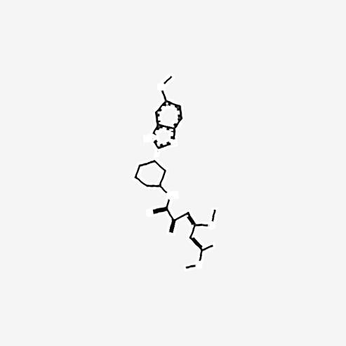 C=C(/C=C(\C=C(/C)OC)OC)C(=O)NC1CCC[C@H](c2nc3ccc(OC)cc3[nH]2)C1